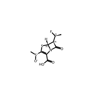 C[C@H](F)[C@H]1C(=O)N2C(C(=O)O)=C([S+](C)[O-])S[C@H]12